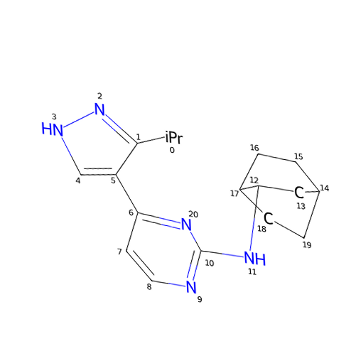 CC(C)c1n[nH]cc1-c1ccnc(NC2CC3CCC2CC3)n1